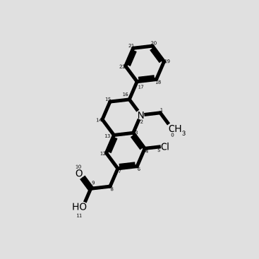 CCN1c2c(Cl)cc(CC(=O)O)cc2CCC1c1ccccc1